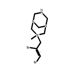 C[N+]1(C/C(Br)=C/Br)CN2CNCN(C2)C1